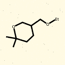 CCOCC1CCC(C)(C)OC1